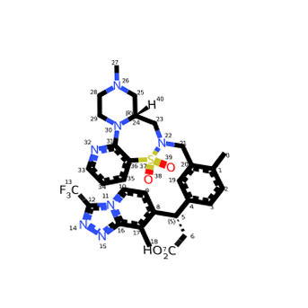 Cc1ccc([C@H](CC(=O)O)c2ccn3c(C(F)(F)F)nnc3c2C)cc1CN1C[C@H]2CN(C)CCN2c2ncccc2S1(=O)=O